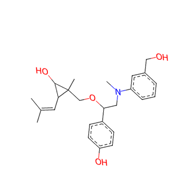 CC(C)=CC1C(O)C1(C)COC(CN(C)c1cccc(CO)c1)c1ccc(O)cc1